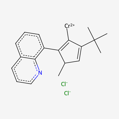 CC1C=C(C(C)(C)C)[C]([Cr+2])=C1c1cccc2cccnc12.[Cl-].[Cl-]